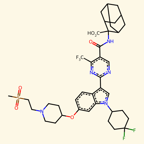 CS(=O)(=O)CCN1CCC(Oc2ccc3c(-c4ncc(C(=O)NC5(C(=O)O)C6CC7CC(C6)CC5C7)c(C(F)(F)F)n4)cn(C4CCC(F)(F)CC4)c3c2)CC1